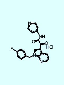 Cl.O=C(Nc1ccncc1)C(=O)c1cn(Cc2ccc(F)cc2)c2ncccc12